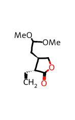 C=C[C@H]1C(=O)OC[C@@H]1CC(OC)OC